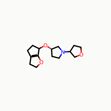 C1CC(N2CC[C@@H](OC3CCC4=C3OCC4)C2)CO1